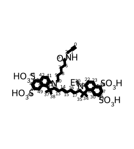 C#CCNC(=O)CCCCCN1\C(=C/C=C/C=C/C2=[N+](CC)c3ccc4c(S(=O)(=O)O)cc(S(=O)(=O)O)cc4c3C2(C)C)C(C)(C)c2c1ccc1c(S(=O)(=O)O)cc(S(=O)(=O)O)cc21